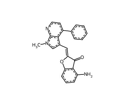 Cn1cc(C=C2Oc3cccc(N)c3C2=O)c2c(-c3ccccc3)ccnc21